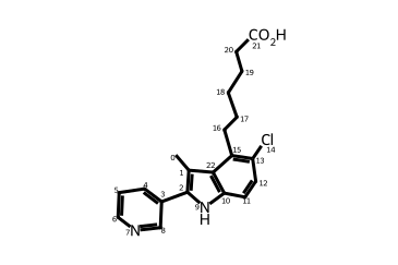 Cc1c(-c2cccnc2)[nH]c2ccc(Cl)c(CCCCCC(=O)O)c12